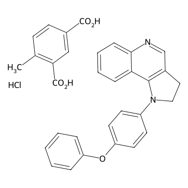 Cc1ccc(C(=O)O)cc1C(=O)O.Cl.c1ccc(Oc2ccc(N3CCc4cnc5ccccc5c43)cc2)cc1